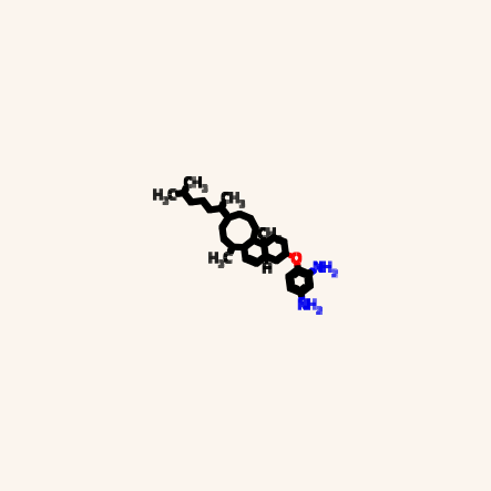 CC(C)CCCC(C)C1CCCC2C(C=C[C@@H]3C[C@H](Oc4ccc(N)cc4N)CCC23C)C(C)CC1